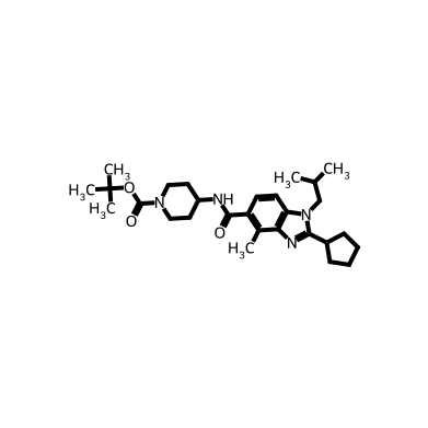 Cc1c(C(=O)NC2CCN(C(=O)OC(C)(C)C)CC2)ccc2c1nc(C1CCCC1)n2CC(C)C